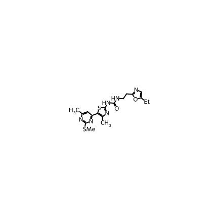 CCc1cnc(CCNC(=O)Nc2nc(C)c(-c3cc(C)nc(SC)n3)s2)o1